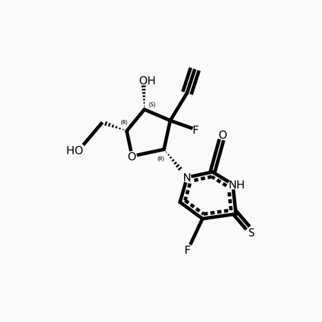 C#CC1(F)[C@@H](O)[C@@H](CO)O[C@H]1n1cc(F)c(=S)[nH]c1=O